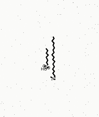 CCCCCCCCCCCCCCCCCC[N+](C)(C)C.CCCCCCCCS(=O)(=O)O